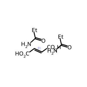 CCC(N)=O.CCC(N)=O.O=C(O)/C=C/C(=O)O